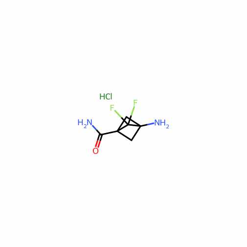 Cl.NC(=O)C12CC(N)(C1)C2(F)F